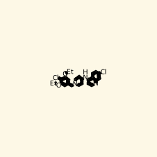 CCOc1cc(CN2CCC(Nc3ccnc4cc(Cl)ccc34)CC2)cc(OCC)c1Cl